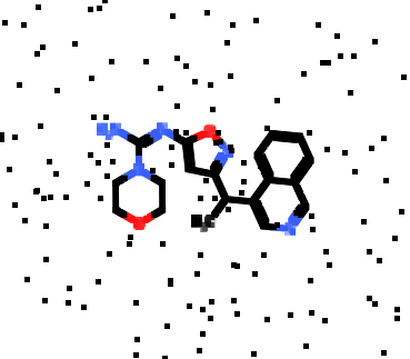 CC(c1cc(/N=C(/N)N2CCOCC2)on1)c1cncc2ccccc12